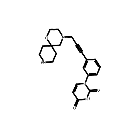 O=c1ccn(-c2cccc(C#CCN3CCOC4(CCNCC4)C3)c2)c(=O)[nH]1